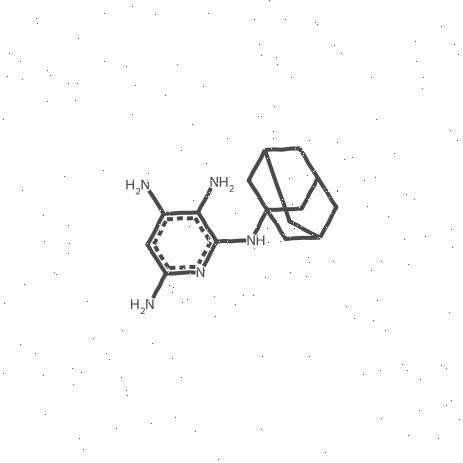 Nc1cc(N)c(N)c(NC23CC4CC(CC(C4)C2)C3)n1